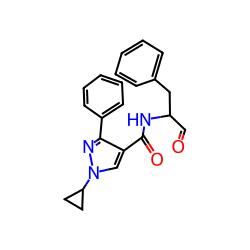 O=CC(Cc1ccccc1)NC(=O)c1cn(C2CC2)nc1-c1ccccc1